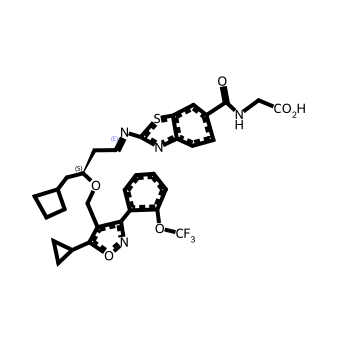 O=C(O)CNC(=O)c1ccc2nc(/N=C/C[C@H](CC3CCC3)OCc3c(-c4ccccc4OC(F)(F)F)noc3C3CC3)sc2c1